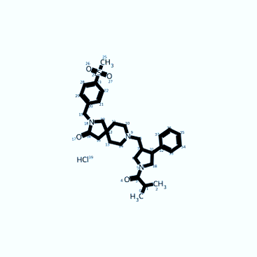 CC(C)C(=O)N1CC(CN2CCC3(CC2)CC(=O)N(Cc2ccc(S(C)(=O)=O)cc2)C3)C(c2ccccc2)C1.Cl